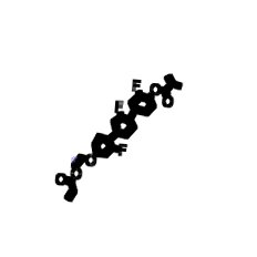 C=CC(=O)O/C=C\Oc1ccc(-c2ccc(-c3ccc(OC(=O)C(=C)C)c(F)c3)c(F)c2)c(F)c1